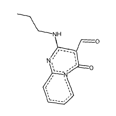 CCCNc1nc2ccccn2c(=O)c1C=O